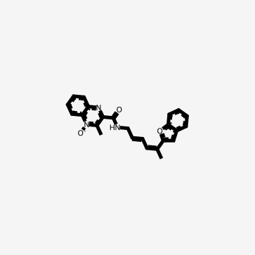 CC(=CC=CCNC(=O)c1nc2ccccc2[n+]([O-])c1C)c1cc2ccccc2o1